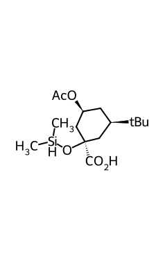 CC(=O)O[C@H]1C[C@@H](C(C)(C)C)C[C@](O[SiH](C)C)(C(=O)O)C1